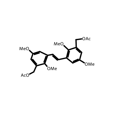 COc1cc(C=Cc2cc(OC)cc(COC(C)=O)c2OC)c(OC)c(COC(C)=O)c1